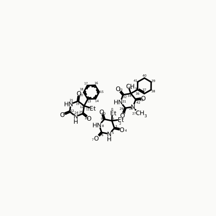 CCC1(CC)C(=O)NC(=O)NC1=O.CCC1(c2ccccc2)C(=O)NC(=O)NC1=O.CN1C(=O)NC(=O)C(C)(C2=CCCCC2)C1=O